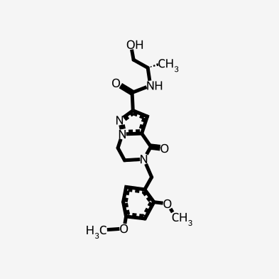 COc1ccc(CN2CCn3nc(C(=O)N[C@@H](C)CO)cc3C2=O)c(OC)c1